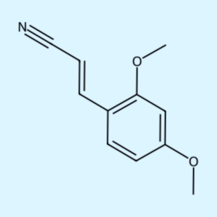 COc1ccc(C=CC#N)c(OC)c1